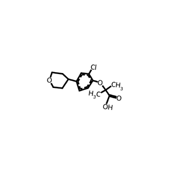 CC(C)(Oc1ccc(C2CCOCC2)cc1Cl)C(=O)O